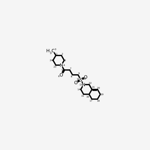 CC1CCN(C(=O)CCCS(=O)(=O)N2CCC3CCCC=C3C2)CC1